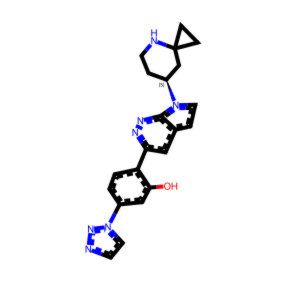 Oc1cc(-n2ccnn2)ccc1-c1cc2ccn([C@H]3CCNC4(CC4)C3)c2nn1